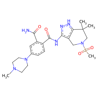 CN1CCN(c2ccc(C(=O)Nc3n[nH]c4c3CN(S(C)(=O)=O)CC4(C)C)c(C(N)=O)c2)CC1